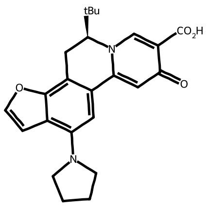 CC(C)(C)[C@@H]1Cc2c(cc(N3CCCC3)c3ccoc23)-c2cc(=O)c(C(=O)O)cn21